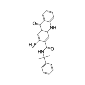 CC(C)(NC(=O)C1=CC2Nc3ccccc3C(=O)C2C=C1P)c1ccccc1